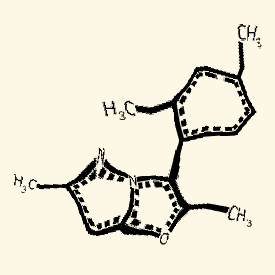 Cc1ccc(-c2c(C)oc3cc(C)nn23)c(C)c1